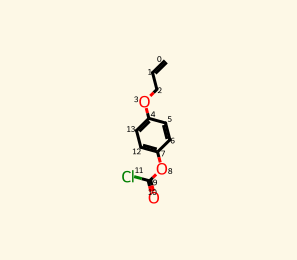 C=CCOc1ccc(OC(=O)Cl)cc1